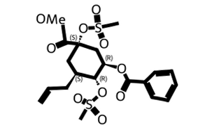 C=CC[C@H]1C[C@@](OS(C)(=O)=O)(C(=O)OC)C[C@@H](OC(=O)c2ccccc2)[C@@H]1OS(C)(=O)=O